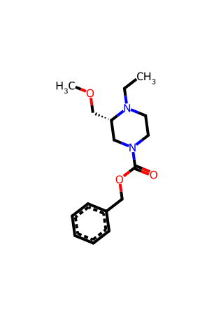 CCN1CCN(C(=O)OCc2ccccc2)C[C@@H]1COC